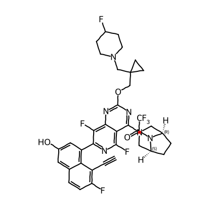 C#Cc1c(F)ccc2cc(O)cc(-c3nc(F)c4c(N5C[C@H]6CC[C@@H](C5)N6C(=O)C(F)(F)F)nc(OCC5(CN6CCC(F)CC6)CC5)nc4c3F)c12